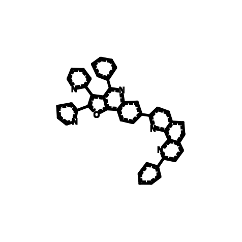 c1ccc(-c2ccc3ccc4ccc(-c5ccc6c(c5)nc(-c5ccccc5)c5c(-c7ccccn7)c(-c7ccccn7)oc56)nc4c3n2)cc1